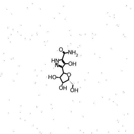 NC(=O)c1[nH]nc(C2O[C@H](CO)[C@@H](O)[C@H]2O)c1O